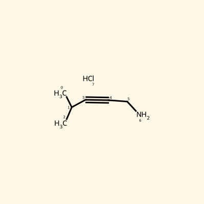 CC(C)C#CCN.Cl